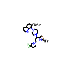 COc1ccc2cccnc2c1N1CCCN(C(CCN2CCC(F)(F)C2)c2csc(C(C)C)n2)CC1